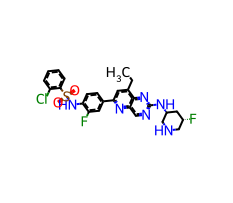 CCc1cc(-c2ccc(NS(=O)(=O)c3ccccc3Cl)c(F)c2)nc2cnc(N[C@@H]3CNC[C@@H](F)C3)nc12